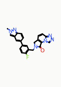 Cn1cc2cc(-c3ccc(F)c(CN4Cc5ccc6nncn6c5C4=O)c3)ccc2n1